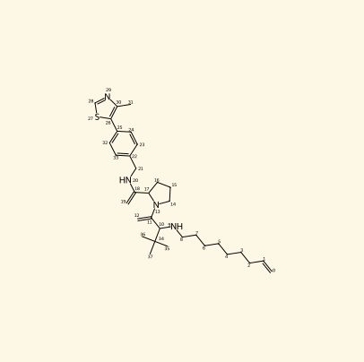 C=CCCCCCCCNC(C(=C)N1CCCC1C(=C)NCc1ccc(-c2scnc2C)cc1)C(C)(C)C